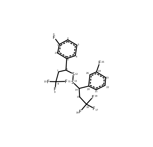 Fc1cccc(C(CC(F)(F)F)SSC(CC(F)(F)F)c2cccc(F)c2)c1